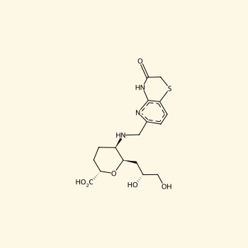 O=C1CSc2ccc(CN[C@@H]3CC[C@@H](C(=O)O)O[C@@H]3C[C@@H](O)CO)nc2N1